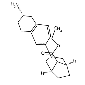 CCOC(=O)C1[C@@H]2CC[C@H]1CN(c1ccc3c(c1)CC[C@H](N)C3)C2